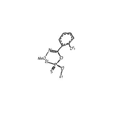 CCOP(=S)(CC)OC(=NOC)c1ccccc1C(F)(F)F